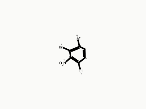 CC(=O)c1ccc(Cl)c([N+](=O)[O-])c1Br